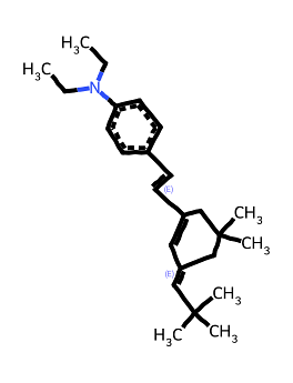 CCN(CC)c1ccc(/C=C/C2=CC(=C/C(C)(C)C)/CC(C)(C)C2)cc1